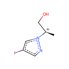 C[C@H](CO)n1cc(I)cn1